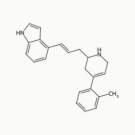 Cc1ccccc1C1=CCNC(CC=Cc2cccc3[nH]ccc23)C1